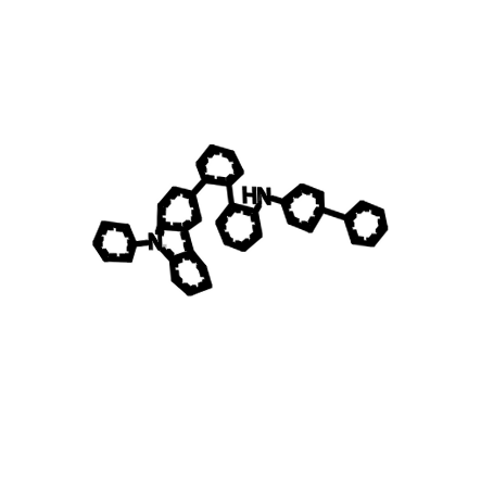 c1ccc(-c2ccc(Nc3ccccc3-c3ccccc3-c3ccc4c(c3)c3ccccc3n4-c3ccccc3)cc2)cc1